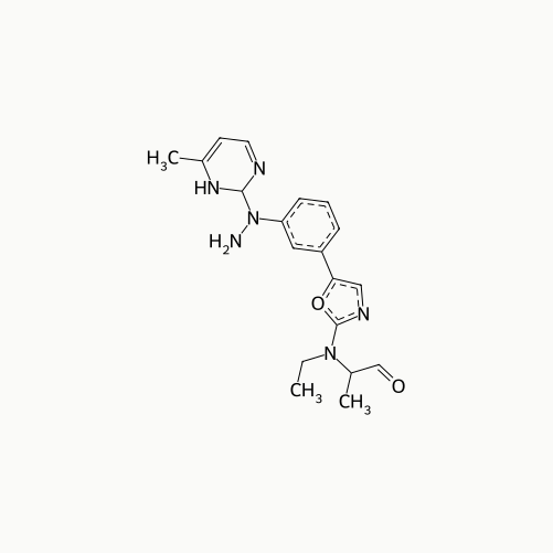 CCN(c1ncc(-c2cccc(N(N)C3N=CC=C(C)N3)c2)o1)C(C)C=O